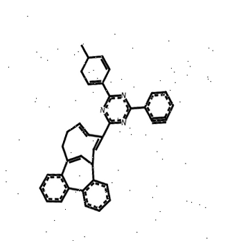 CC1C=CC(c2nc(C3=C\C4C=C(CC\C=C\3)c3ccccc3-c3ccccc34)nc(-c3c#cccc3)n2)=CC1